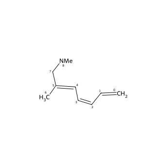 C=C/C=C\C=C(/C)CNC